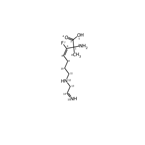 CC(N)(C(=O)O)/C(F)=C\CCCNCC=N